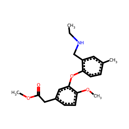 CCNCc1cc(C)ccc1Oc1cc(CC(=O)OC)ccc1OC